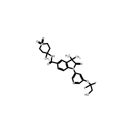 CC1(NC(=O)c2ccc3c(c2)C(C)(C)C(=O)N3c2cncc(OC(F)(F)CO)c2)CCS(=O)(=O)CC1